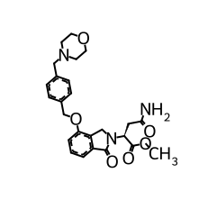 COC(=O)[C@H](CC(N)=O)N1Cc2c(OCc3ccc(CN4CCOCC4)cc3)cccc2C1=O